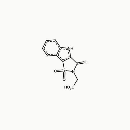 O=C(O)CN1C(=O)c2[nH]c3ccccc3c2S1(=O)=O